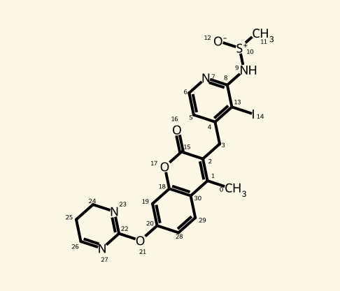 Cc1c(Cc2ccnc(N[S+](C)[O-])c2I)c(=O)oc2cc(OC3=NCCC=N3)ccc12